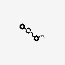 O=[N+]([O-])c1cccc(CCN2CCN(c3ccccc3)CC2)c1